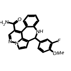 COc1ccc(C2Nc3ccccc3-c3c(C(N)=O)cnn4ccc2c34)cc1F